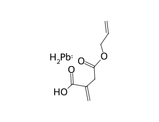 C=CCOC(=O)CC(=C)C(=O)O.[PbH2]